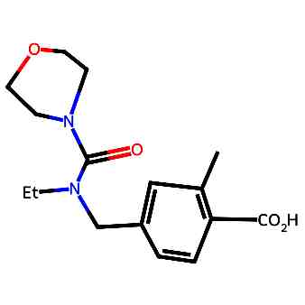 CCN(Cc1ccc(C(=O)O)c(C)c1)C(=O)N1CCOCC1